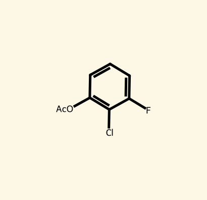 CC(=O)Oc1cccc(F)c1Cl